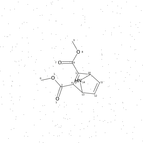 COC(=O)C1=C(C(=O)OC)C2C=CC1N2